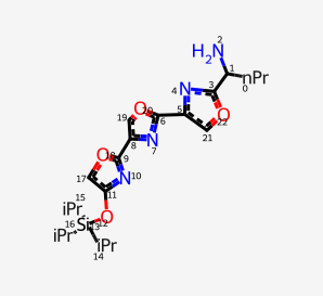 CCCC(N)c1nc(-c2nc(-c3nc(O[Si](C(C)C)(C(C)C)C(C)C)co3)co2)co1